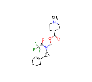 CN1CCC(C(=O)OCN(C(=O)C(F)(F)F)C2CC2c2ccccc2)CC1